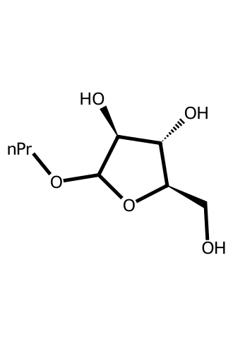 CCCOC1O[C@H](CO)[C@@H](O)[C@@H]1O